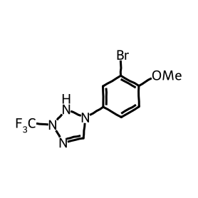 COc1ccc(N2C=NN(C(F)(F)F)N2)cc1Br